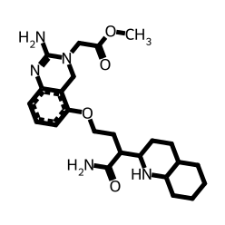 COC(=O)CN1Cc2c(cccc2OCCC(C(N)=O)C2CCC3CCCCC3N2)N=C1N